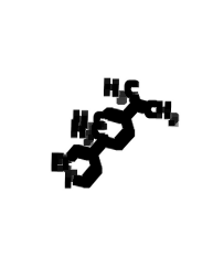 C=C(C)C(/C=C\C(=C)C(/C=C\F)=C/CC)=C/C